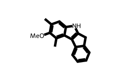 COc1c(C)cc2[nH]c3c(c2c1C)-c1ccccc1C3